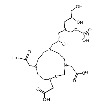 O=C(O)CN1CCN(CC(=O)O)CCN(CC(O)CN(CO[PH](=O)O)CC(O)CO)CCN(CC(=O)O)CC1